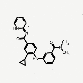 CN(C)C(=O)c1cccc(Nc2ccc(C(=O)N=c3nccc[nH]3)cc2C2CC2)c1